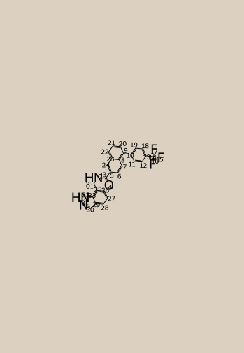 C[C@H](NC(=O)c1ccc2c(-c3ccc(C(F)(F)F)cc3)cccc2c1)c1cccc2cn[nH]c12